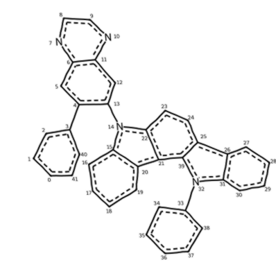 c1ccc(-c2cc3nccnc3cc2-n2c3ccccc3c3c2ccc2c4ccccc4n(-c4ccccc4)c23)cc1